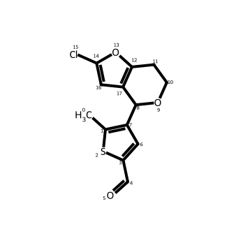 Cc1sc(C=O)cc1C1OCCc2oc(Cl)cc21